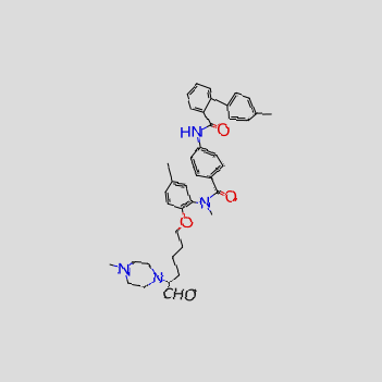 Cc1ccc(-c2ccccc2C(=O)Nc2ccc(C(=O)N(C)c3cc(C)ccc3OCCCCC(C=O)N3CCN(C)CC3)cc2)cc1